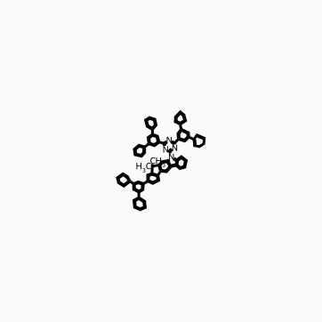 CC1(C)c2cc(-c3cc(-c4ccccc4)cc(-c4ccccc4)c3)ccc2-c2cc3c4ccccc4n(-c4nc(-c5cc(C6=CCCC=C6)cc(-c6ccccc6)c5)nc(-c5cc(-c6ccccc6)cc(-c6ccccc6)c5)n4)c3cc21